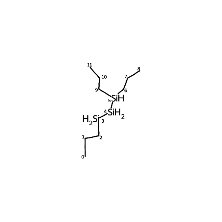 CCC[SiH2][SiH2][SiH](CCC)CCC